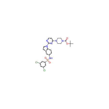 CC(C)(C)OC(=O)N1CCN(c2ccnc(-n3ccc4cc(NS(=O)(=O)c5cc(Cl)cc(Cl)c5)ccc43)n2)CC1